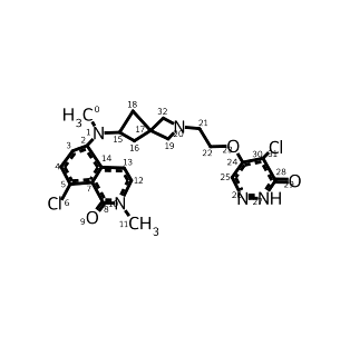 CN(c1ccc(Cl)c2c(=O)n(C)ccc12)C1CC2(C1)CN(CCOc1cn[nH]c(=O)c1Cl)C2